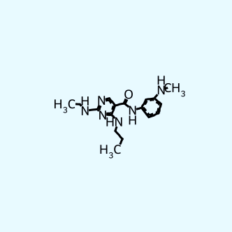 CCCNc1nc(NCC)ncc1C(=O)Nc1cccc(NC)c1